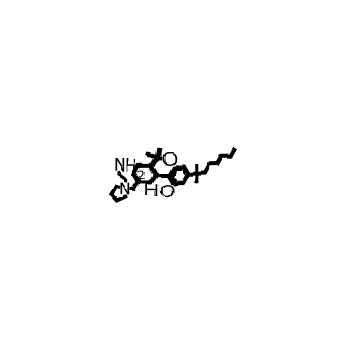 CCCCCCC(C)(C)c1cc(O)c2c(c1)OC(C)(C)C1CC=C(C[N+]3(CCN)CCCC3)CC21